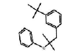 CC(C)(Cc1cccc(C(C)(C)C)c1)Oc1ccccc1